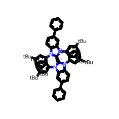 CC(C)(C)c1cc(N2/C(=C3\N(c4cc(C(C)(C)C)cc(C(C)(C)C)c4)c4cc(-c5ccccc5)ccc4N3c3cc(C(C)(C)C)ccc3C(C)(C)C)N(c3cc(C(C)(C)C)cc(C(C)(C)C)c3)c3cc(-c4ccccc4)ccc32)cc(C(C)(C)C)c1